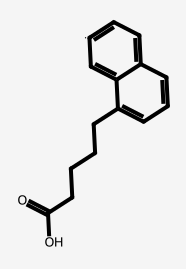 O=C(O)CCCCc1cccc2cc[c]cc12